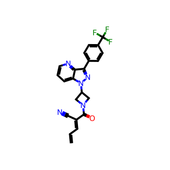 C=CC=C(C#N)C(=O)N1CC(n2nc(-c3ccc(C(F)(F)F)cc3)c3ncccc32)C1